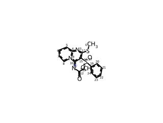 CSc1nc2ccccn2/c(=N/C(C)=O)c1S(=O)(=O)c1ccccc1